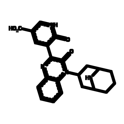 O=C(O)c1c[nH]c(=O)c(-c2nc3ccccc3n(C3CC4CCCC(C3)N4)c2=O)c1